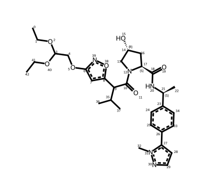 CCOC(COc1cc(C(C(=O)N2C[C@H](O)C[C@H]2C(=O)N[C@@H](C)c2ccc(-c3ccnn3C)cc2)C(C)C)on1)OCC